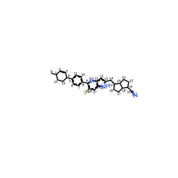 CC1C=CC(c2ccc(-c3nc4cc(CC5CCC6C(C#N)CCC56)[nH]c4cc3F)cc2)CC1